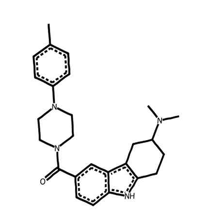 Cc1ccc(N2CCN(C(=O)c3ccc4[nH]c5c(c4c3)CC(N(C)C)CC5)CC2)cc1